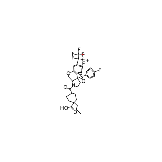 CCCC1(C(=O)O)CCC(C(=O)N2CCC3(S(=O)(=O)c4ccc(F)cc4)c4ccc(C(F)(C(F)(F)F)C(F)(F)F)cc4OCC23)CC1